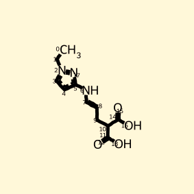 CCn1ccc(NC=CCC(C(=O)O)C(=O)O)n1